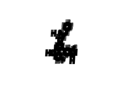 Cc1n[nH]c2ccc(-c3cc(OC[C@H](N)Cc4ccccc4)cnc3-c3cc(F)ccc3O)cc12